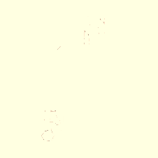 NC(=O)C(=O)NCCCC/C=C\CCCCCCCOCC(=O)NS(=O)(=O)c1ccccc1